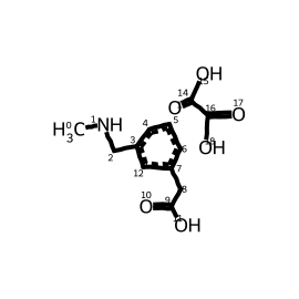 CNCc1cccc(CC(=O)O)c1.O=C(O)C(=O)O